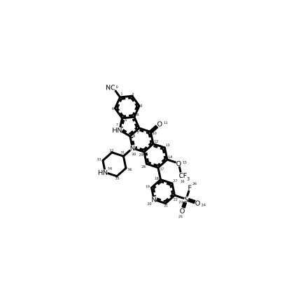 N#Cc1ccc2c(c1)[nH]c1c2c(=O)c2cc(OC(F)(F)F)c(-c3cncc(S(=O)(=O)F)c3)cc2n1C1CCNCC1